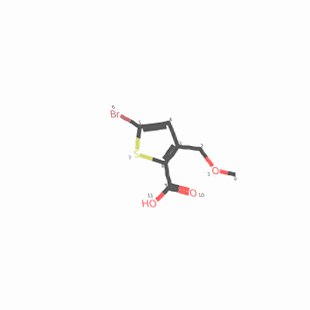 COCc1cc(Br)sc1C(=O)O